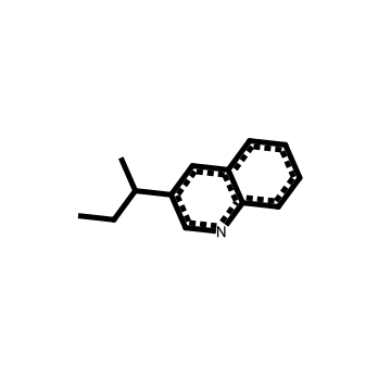 CCC(C)c1cnc2ccccc2c1